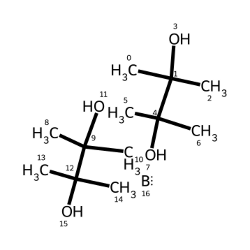 CC(C)(O)C(C)(C)O.CC(C)(O)C(C)(C)O.[B]